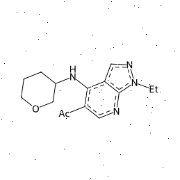 CCn1ncc2c(NC3CCCOC3)c(C(C)=O)cnc21